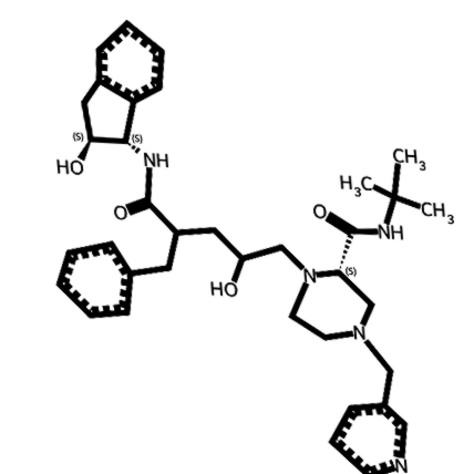 CC(C)(C)NC(=O)[C@@H]1CN(Cc2cccnc2)CCN1CC(O)CC(Cc1ccccc1)C(=O)N[C@H]1c2ccccc2C[C@@H]1O